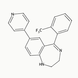 FC(F)(F)c1ccccc1C1=NCCNc2ccc(-c3ccncc3)cc21